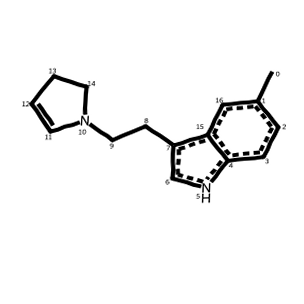 Cc1ccc2[nH]cc(CCN3C=CCC3)c2c1